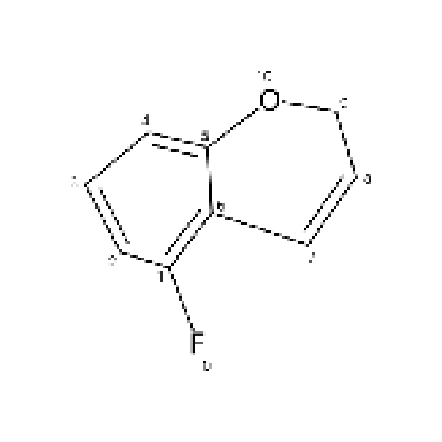 Fc1cccc2c1C=CCO2